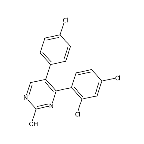 Oc1ncc(-c2ccc(Cl)cc2)c(-c2ccc(Cl)cc2Cl)n1